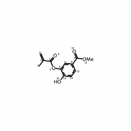 C=C(C)C(=O)Oc1cc(C(=O)OC)ccc1O